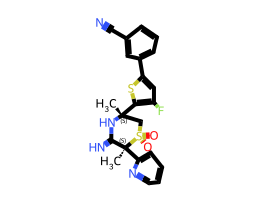 C[C@@]1(c2sc(-c3cccc(C#N)c3)cc2F)CS(=O)(=O)[C@@](C)(c2ccccn2)C(=N)N1